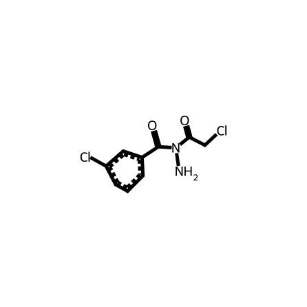 NN(C(=O)CCl)C(=O)c1cccc(Cl)c1